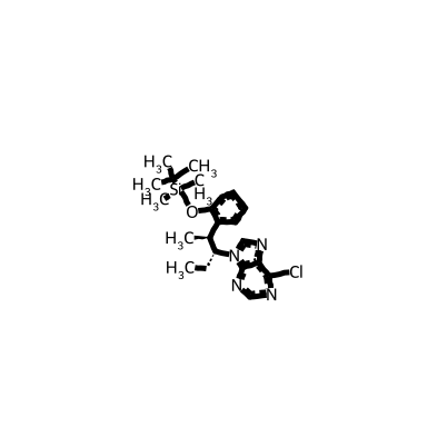 CC[C@H]([C@@H](C)c1ccccc1O[Si](C)(C)C(C)(C)C)n1cnc2c(Cl)ncnc21